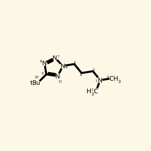 CN(C)CCCn1nnc(C(C)(C)C)n1